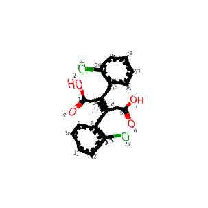 O=C(O)/C(=C(/C(=O)O)c1ccccc1Cl)c1ccccc1Cl